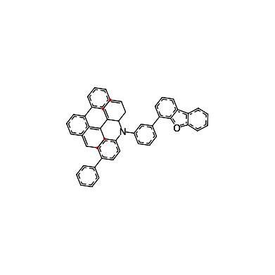 C1=CCC(N(c2ccc(-c3ccccc3)cc2)c2cccc(-c3cccc4c3oc3ccccc34)c2)C(C2=c3c(-c4ccccc4)cccc3=CCC2)=C1